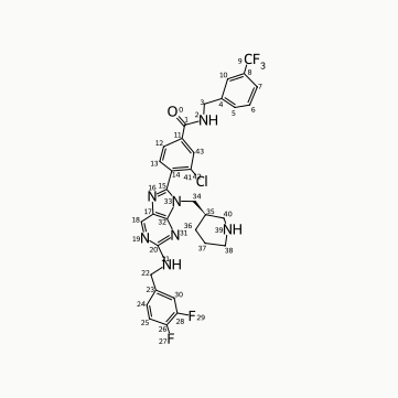 O=C(NCc1cccc(C(F)(F)F)c1)c1ccc(-c2nc3cnc(NCc4ccc(F)c(F)c4)nc3n2C[C@@H]2CCCNC2)c(Cl)c1